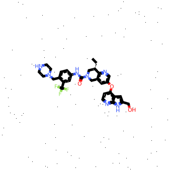 CC[C@H]1CN(C(=O)Nc2ccc(CN3CCNCC3)c(C(F)(F)F)c2)Cc2cc(Oc3ccnc4[nH]c(CO)cc34)cnc21